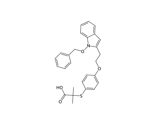 CC(C)(Sc1ccc(OCCc2cc3ccccc3n2OCc2ccccc2)cc1)C(=O)O